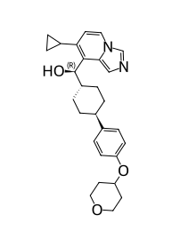 O[C@@H](c1c(C2CC2)ccn2cncc12)[C@H]1CC[C@H](c2ccc(OC3CCOCC3)cc2)CC1